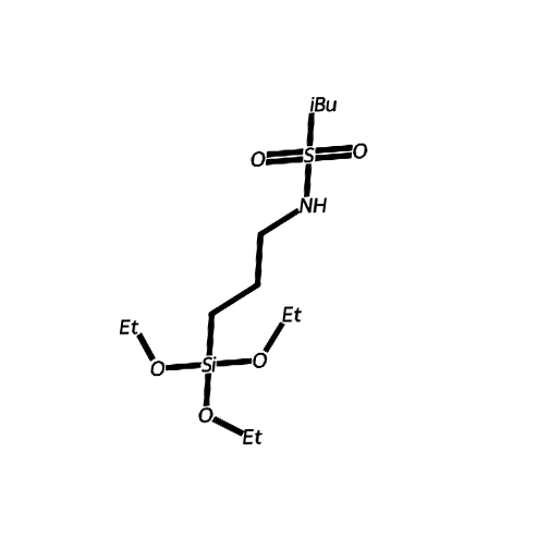 CCO[Si](CCCNS(=O)(=O)C(C)CC)(OCC)OCC